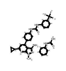 Cn1nc(N)c2c(-c3ccc(NC(=O)Nc4cccc(C(F)(F)F)c4)cc3)cc(C3CC3)nc21.O=C(O)Nc1ccccc1